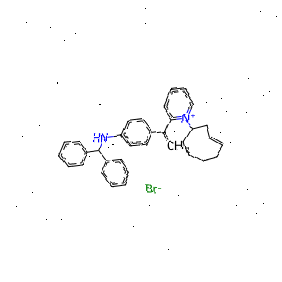 C=C(c1ccc(NC(c2ccccc2)c2ccccc2)cc1)c1cccc[n+]1C1C/C=C/CCCC1.[Br-]